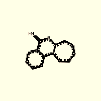 N=c1nc2cccccc-2c2ccccc12